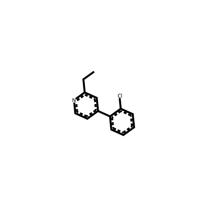 CCc1cc(-c2ccccc2Cl)ccn1